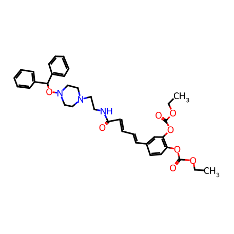 CCOC(=O)Oc1ccc(C=CC=CC(=O)NCCN2CCN(OC(c3ccccc3)c3ccccc3)CC2)cc1OC(=O)OCC